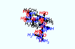 CC[C@H](C)[C@H](NC(=O)[C@H](CS)NC(=O)[C@H](CCCCN)NC(=O)[C@H](CCC(=O)O)NC(=O)[C@@H](NC(=O)[C@@H](NC(=O)[C@H](Cc1c[nH]cn1)NC(=O)[C@H](CO)NC(=O)CNC(=O)[C@H](CC(N)=O)NC(=O)[C@@H](N)CCC(N)=O)C(C)C)C(C)C)C(=O)N[C@@H](CCC(=O)O)C(=O)N[C@@H](CS)C(=O)N[C@H](C(=O)O)C(C)C